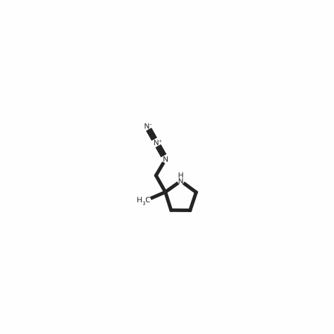 CC1(CN=[N+]=[N-])CCCN1